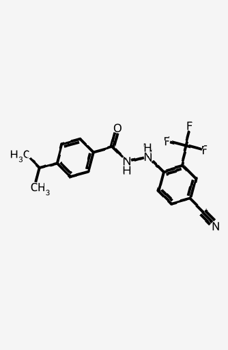 CC(C)c1ccc(C(=O)NNc2ccc(C#N)cc2C(F)(F)F)cc1